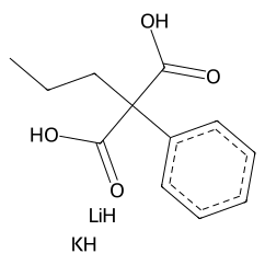 CCCC(C(=O)O)(C(=O)O)c1ccccc1.[KH].[LiH]